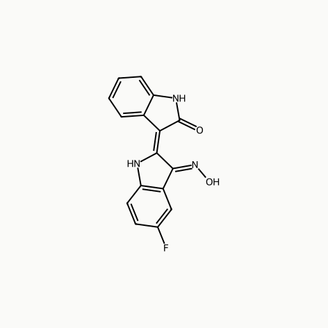 O=C1Nc2ccccc2C1=C1Nc2ccc(F)cc2C1=NO